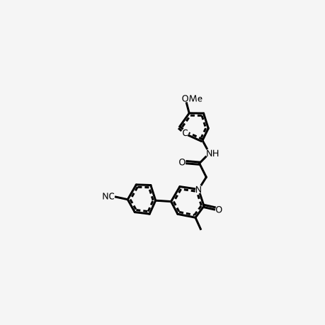 COc1ccc(NC(=O)Cn2cc(-c3ccc(C#N)cc3)cc(C)c2=O)cc1